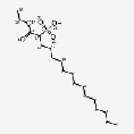 CCCCCCCCCCCCCCC(C(=O)OCC)S(=O)(=O)O